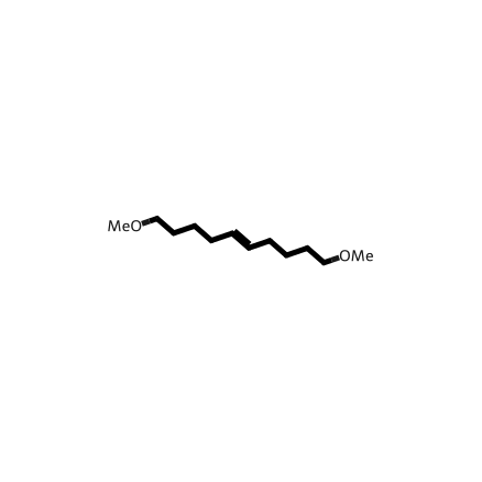 COCCCCC=CCCCCOC